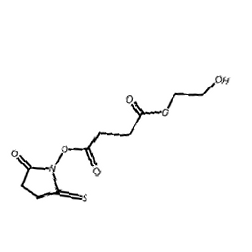 O=C(CCC(=O)ON1C(=O)CCC1=S)OCCO